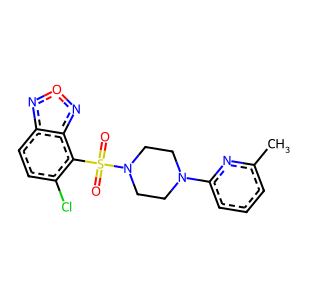 Cc1cccc(N2CCN(S(=O)(=O)c3c(Cl)ccc4nonc34)CC2)n1